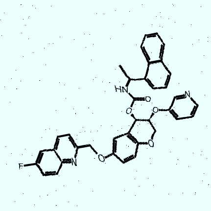 CC(NC(=O)O[C@@H]1c2cc(OCc3ccc4cc(F)ccc4n3)ccc2OC[C@@H]1Oc1cccnc1)c1cccc2ccccc12